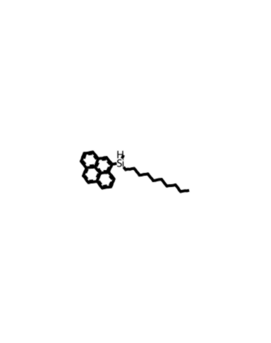 CCCCCCCCCC[SiH](C)c1cc2cccc3ccc4cccc1c4c32